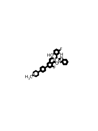 CN1CCC(c2ccc(-c3cc(F)c4c(=O)n([C@@H](c5nc6ccccc6[nH]5)c5cc(F)ccc5O)ccc4c3)cc2)CC1